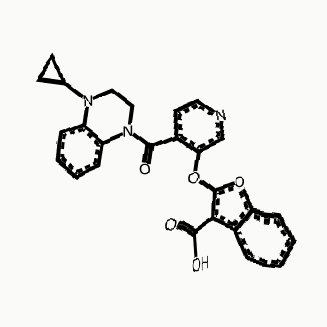 O=C(O)c1c(Oc2cnccc2C(=O)N2CCN(C3CC3)c3ccccc32)oc2ccccc12